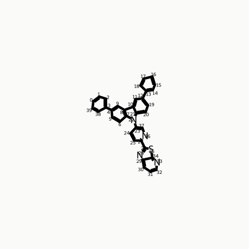 c1ccc(-c2ccc3c(c2)c2cc(-c4ccccc4)ccc2n3-c2ccc(-c3nc4cccnc4s3)nc2)cc1